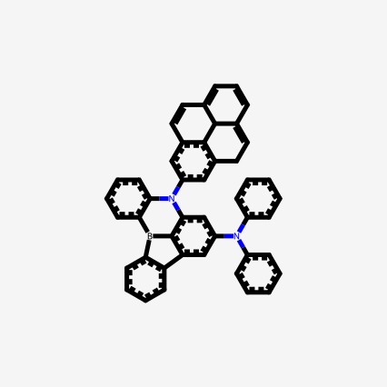 C1=CC2=CCc3cc(N4c5ccccc5B5c6ccccc6-c6cc(N(c7ccccc7)c7ccccc7)cc4c65)cc4c3C2C(=C1)C=C4